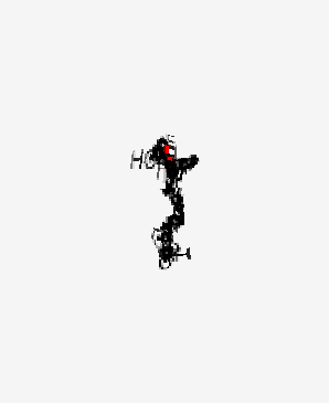 O=C1CC[C@H](N2Cc3cc(N4CCN(CC5CC6(CCN(CC7(COc8nc(N9CC%10CCC(C9)N%10)c9cc(F)c(-c%10cc(O)cc%11ccc(F)c(Cl)c%10%11)c(F)c9n8)CC7)CC6)C5)CC4)ccc3C2=O)C(=O)N1